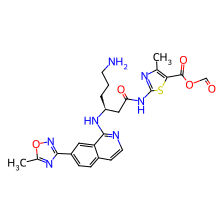 Cc1nc(-c2ccc3ccnc(N[C@@H](CCCN)CC(=O)Nc4nc(C)c(C(=O)OC=O)s4)c3c2)no1